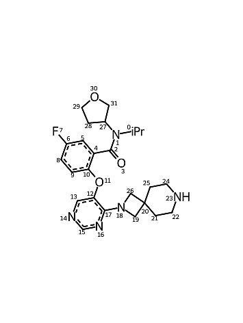 CC(C)N(C(=O)c1cc(F)ccc1Oc1cncnc1N1CC2(CCNCC2)C1)C1CCOC1